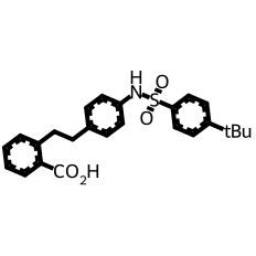 CC(C)(C)c1ccc(S(=O)(=O)Nc2ccc(CCc3ccccc3C(=O)O)cc2)cc1